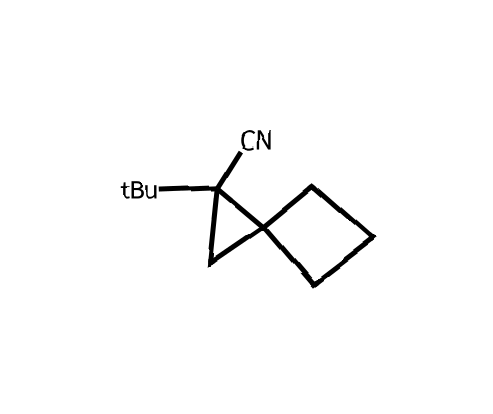 CC(C)(C)C1(C#N)CC12CCC2